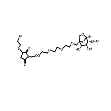 CC(=O)CCSC1CC(=O)N(CCOCCOCCOCCOC[C@@]23CO[C@@H](O2)[C@@H](NC(C)=O)[C@@H](O)[C@H]3O)C1=O